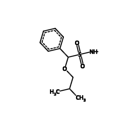 CC(C)COC(c1ccccc1)S([NH])(=O)=O